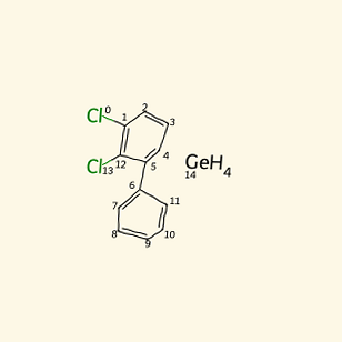 Clc1cccc(-c2ccccc2)c1Cl.[GeH4]